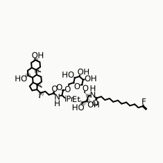 C=C(F)CCCCCCCCCCC(=O)N[C@@H](COC1OC(COC(=O)C(NC(=O)CC[C@@H](C)C2CCC3C4C(CC[C@@]32C)[C@@]2(C)CC[C@@H](O)CC2C[C@H]4O)C(C)C)C(O)C(O)C1O)[C@H](O)[C@H](O)CC